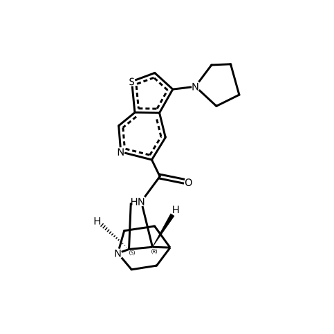 C[C@H]1[C@H](NC(=O)c2cc3c(N4CCCC4)csc3cn2)C2CCN1CC2